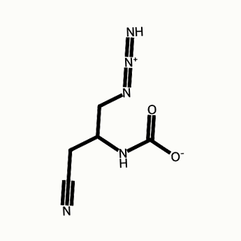 N#CCC(CN=[N+]=N)NC(=O)[O-]